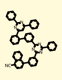 N#Cc1ccc(-c2cccc(-c3nc(-c4ccccc4)nc(-c4cccc(-c5ccccc5-c5cc(-c6ccccc6)nc(-c6ccccc6)n5)c4)n3)c2)c2ccccc12